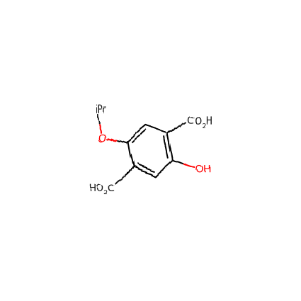 CC(C)Oc1cc(C(=O)O)c(O)cc1C(=O)O